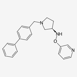 c1ccc(-c2ccc(CN3CC[C@@H](NOc4cccnc4)C3)cc2)cc1